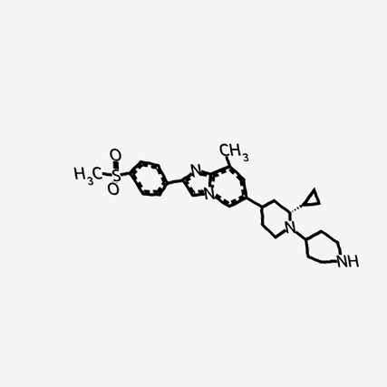 Cc1cc(C2CCN(C3CCNCC3)[C@@H](C3CC3)C2)cn2cc(-c3ccc(S(C)(=O)=O)cc3)nc12